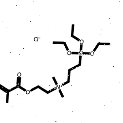 C=C(C)C(=O)OCC[N+](C)(C)CCC[Si](OCC)(OCC)OCC.[Cl-]